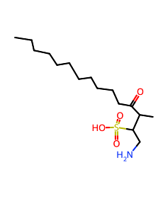 CCCCCCCCCCCC(=O)C(C)C(CN)S(=O)(=O)O